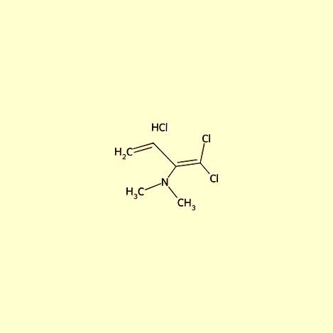 C=CC(=C(Cl)Cl)N(C)C.Cl